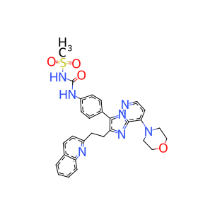 CS(=O)(=O)NC(=O)Nc1ccc(-c2c(CCc3ccc4ccccc4n3)nc3c(N4CCOCC4)ccnn23)cc1